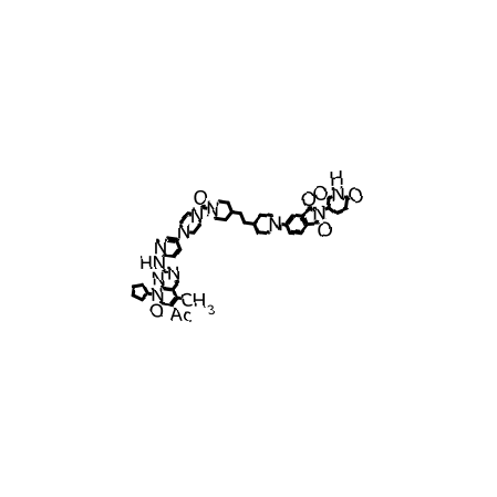 CC(=O)c1c(C)c2cnc(Nc3ccc(N4CCN(C(=O)N5CCC(CCC6CCN(c7ccc8c(c7)C(=O)N(C7CCC(=O)NC7=O)C8=O)CC6)CC5)CC4)cn3)nc2n(C2CCCC2)c1=O